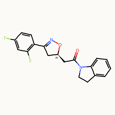 O=C(C[C@H]1CC(c2ccc(F)cc2F)=NO1)N1CCc2ccccc21